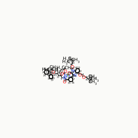 CC(C)(C)OC(=O)NN(CCCCCO[Si](c1ccccc1)(c1ccccc1)C(C)(C)C)C(=O)c1cccc(-c2nc3c(OCOCC[Si](C)(C)C)cccc3n(COCC[Si](C)(C)C)c2=O)c1F